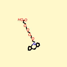 O=C(O)CCOCCOCCOCCOCCN1Cc2ccccc2C#Cc2ccccc21